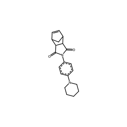 O=C1C2C3C=CC(C3)C2C(=O)N1c1ccc(N2CCCCC2)cc1